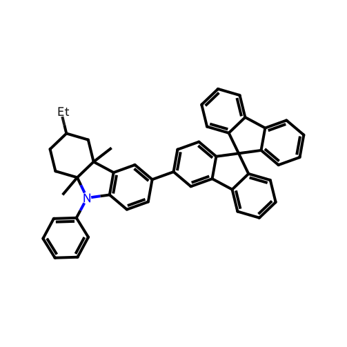 CCC1CCC2(C)N(c3ccccc3)c3ccc(-c4ccc5c(c4)-c4ccccc4C54c5ccccc5-c5ccccc54)cc3C2(C)C1